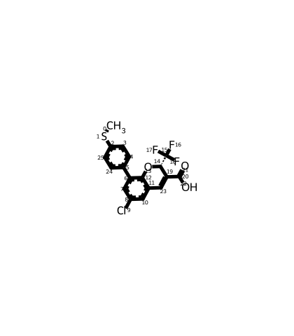 CSc1ccc(-c2cc(Cl)cc3c2O[C@H](C(F)(F)F)C(C(=O)O)=C3)cc1